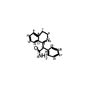 NC(=O)C(C1=NCCc2ccccc21)c1ccccc1